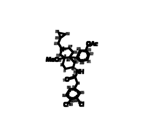 COC12CC[C@@H](NC(=O)Cc3ccc(Cl)c(Cl)c3)CC1(c1cccc(OC(C)=O)c1)CCN(CC1CC1)C2